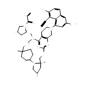 C#Cc1c(F)ccc2cc(O)cc(N3CCc4c(nc(OC[C@]5(C)C[C@@H](F)CN5C5CCC(C)(O)CC5)nc4N(C)C[C@@H]4CCCN4C(=O)C=C)C3)c12